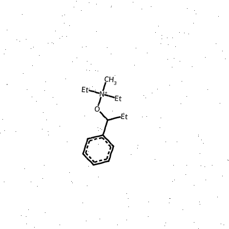 CCC(O[N+](C)(CC)CC)c1ccccc1